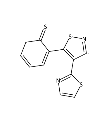 S=C1CC=CC=C1c1sn[c]c1-c1nccs1